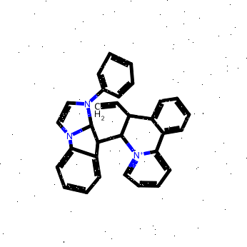 C=CC1c2ccccc2-c2cccc[n+]2C1C1c2ccccc2N2C=CN(c3ccccc3)C12